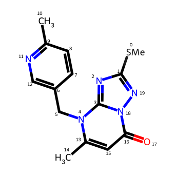 CSc1nc2n(Cc3ccc(C)nc3)c(C)cc(=O)n2n1